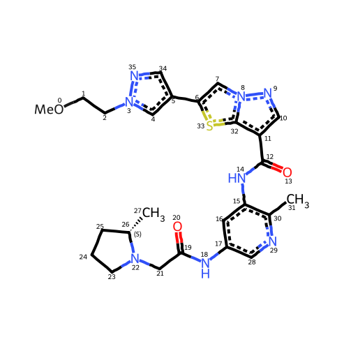 COCCn1cc(-c2cn3ncc(C(=O)Nc4cc(NC(=O)CN5CCC[C@@H]5C)cnc4C)c3s2)cn1